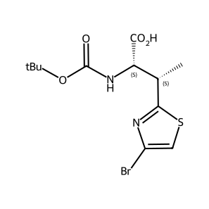 C[C@H](c1nc(Br)cs1)[C@H](NC(=O)OC(C)(C)C)C(=O)O